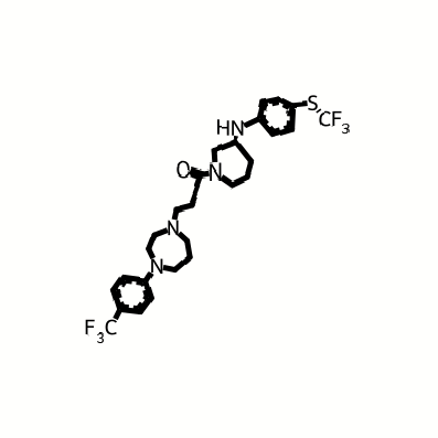 O=C(CCN1CCCN(c2ccc(C(F)(F)F)cc2)CC1)N1CCC[C@H](Nc2ccc(SC(F)(F)F)cc2)C1